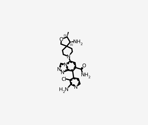 C[C@@H]1OCC2(CCN(c3cc(C(N)=O)c(-c4ccnc(N)c4Cl)c4nncn34)CC2)[C@@H]1N